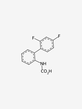 O=C(O)Nc1ccccc1-c1ccc(F)cc1F